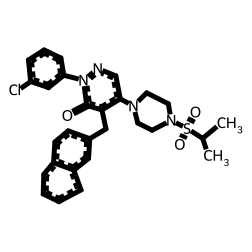 CC(C)S(=O)(=O)N1CCN(c2cnn(-c3cccc(Cl)c3)c(=O)c2Cc2ccc3ccccc3c2)CC1